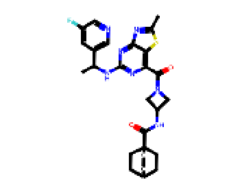 Cc1nc2nc(NC(C)c3cncc(F)c3)nc(C(=O)N3CC(NC(=O)C45CCC(CC4)CC5)C3)c2s1